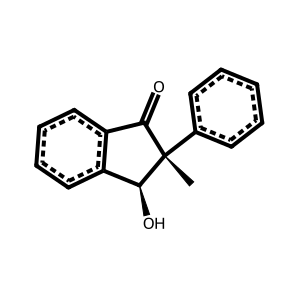 C[C@]1(c2ccccc2)C(=O)c2ccccc2[C@@H]1O